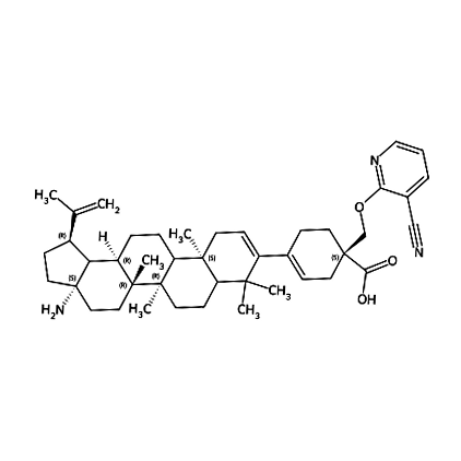 C=C(C)[C@@H]1CC[C@]2(N)CC[C@]3(C)[C@H](CCC4[C@@]5(C)CC=C(C6=CC[C@@](COc7ncccc7C#N)(C(=O)O)CC6)C(C)(C)C5CC[C@]43C)C12